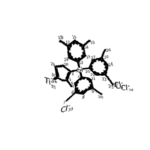 CC1=C([Si](c2cc(C)cc(C)c2)(c2cc(C)cc(C)c2)c2cc(C)cc(C)c2)CC=[C]1[Ti+3].[Cl-].[Cl-].[Cl-]